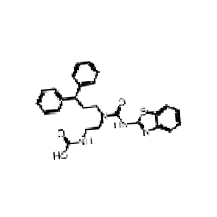 O=C(O)NCCN(CCC(c1ccccc1)c1ccccc1)C(=O)Nc1nc2ccccc2s1